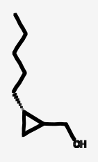 CCCCC[C@H]1CC1CO